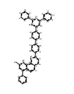 Cc1cc(-c2ccccc2)c2ccc3ccc(-c4ccc(-c5ccc(-c6cc(-c7ccncc7)nc(-c7ccccc7)n6)cc5)cc4)nc3c2n1